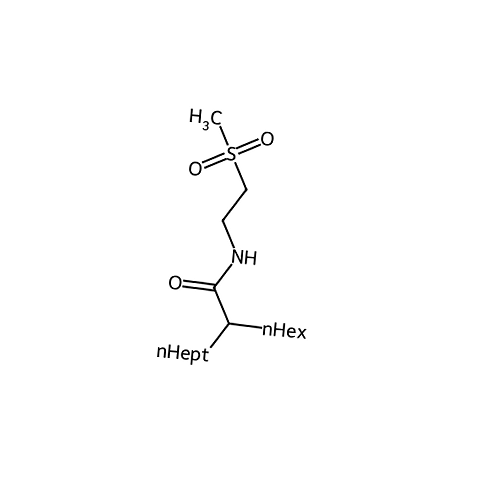 CCCCCCCC(CCCCCC)C(=O)NCCS(C)(=O)=O